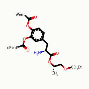 CCCCCC(=O)Oc1ccc(C[C@H](N)C(=O)O[C@@H](C)COC(=O)OCC)cc1OC(=O)CCCCC